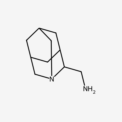 NCC1C2CC3CC(C2)CN1C3